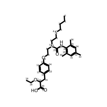 CCCCSCCN(CCOc1ccc(CC(OCC)C(=O)O)cc1)C(=O)Nc1c(C)cc(C)cc1C